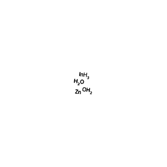 O.O.[InH3].[Zn]